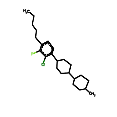 CCCCCc1ccc(C2CCC(C3CCC(C)CC3)CC2)c(Cl)c1F